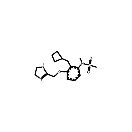 CN(c1cccc(OCC2=NCCN2)c1CC1CCC1)S(C)(=O)=O